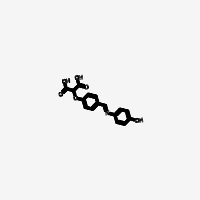 O=C(O)C(Oc1ccc(C=Nc2ccc(O)cc2)cc1)C(=O)O